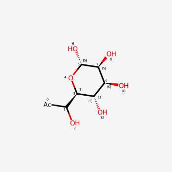 CC(=O)C(O)[C@H]1O[C@H](O)[C@@H](O)[C@@H](O)[C@@H]1O